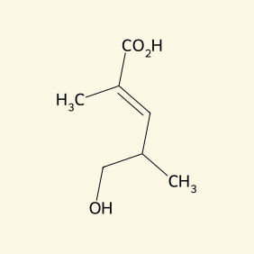 CC(=CC(C)CO)C(=O)O